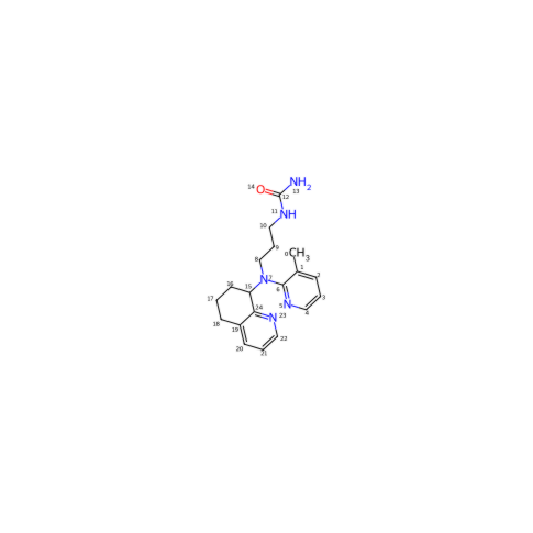 Cc1cccnc1N(CCCNC(N)=O)C1CCCc2cccnc21